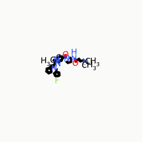 Cc1c(-c2cc3ccccc3n2Cc2ccc(F)cc2)nc2cc(C(=O)N3CCCC(NC(=O)C=CCN(C)C)C3)ccn12